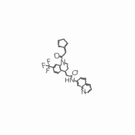 O=C(C=C1CCN(C(=O)CC2CCCC2)c2cc(C(F)(F)F)ccc21)Nc1ccc2cccnc2c1